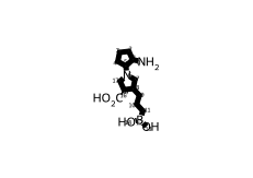 NC1CCCC1N1CC(CCCB(O)O)[C@H](C(=O)O)C1